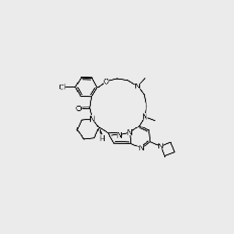 CN1CCOc2ccc(Cl)cc2C(=O)N2CCCC[C@H]2c2cc3nc(N4CCC4)cc(n3n2)N(C)CC1